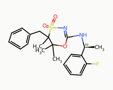 C[C@H](NC1=NS(=O)(=O)C(C)(Cc2ccccc2)C(C)(C)O1)c1ccccc1F